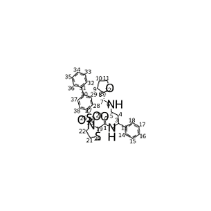 O=C(NC(CCNC[C@@H]1CCCO1)c1ccccc1)C1SCCN1S(=O)(=O)c1ccc(-c2ccccc2)cc1